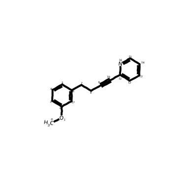 COc1cccc(CCC#Cc2ccccn2)c1